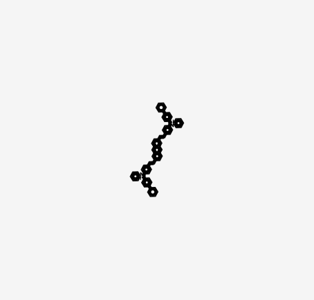 C(=Cc1ccc2cc3cc(C=Cc4ccc(N(c5ccccc5)c5ccc(C6CCCCC6)cc5)cc4)ccc3cc2c1)c1ccc(N(c2ccccc2)c2ccc(C3CCCCC3)cc2)cc1